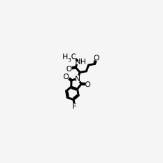 CNC(=O)C(CCC=O)N1C(=O)c2ccc(F)cc2C1=O